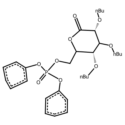 CCCCOC1[C@H](OCCCC)C(COP(=O)(Oc2ccccc2)Oc2ccccc2)OC(=O)[C@@H]1OCCCC